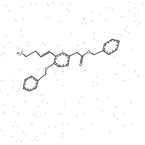 CCC/C=C/c1cc(CC(=O)OCc2ccccc2)ccc1OCc1ccccc1